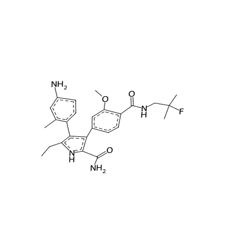 CCc1[nH]c(C(N)=O)c(-c2ccc(C(=O)NCC(C)(C)F)c(OC)c2)c1-c1ccc(N)cc1C